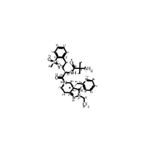 CC(C)(N)C(=O)N[C@H](CCc1ccccc1S(C)(=O)=O)C(=O)N1CCC2=NN(CC(F)(F)F)C(=O)[C@]2(Cc2ccccn2)C1